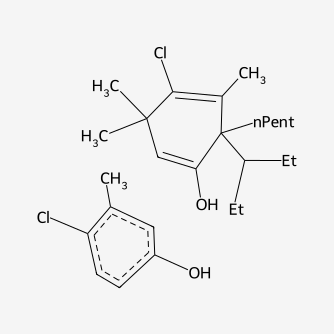 CCCCCC1(C(CC)CC)C(O)=CC(C)(C)C(Cl)=C1C.Cc1cc(O)ccc1Cl